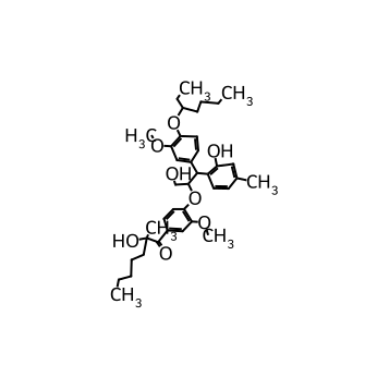 CCCCCC(C)(O)C(=O)c1ccc(OC(CO)C(c2ccc(OC(CC)CCCC)c(OC)c2)c2ccc(C)cc2O)c(OC)c1